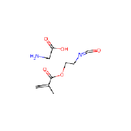 C=C(C)C(=O)OCCN=C=O.NCC(=O)O